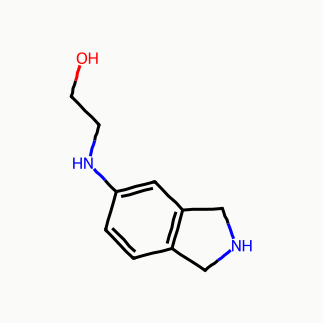 OCCNc1ccc2c(c1)CNC2